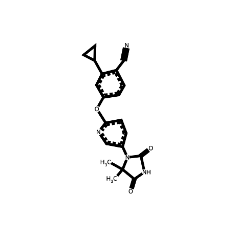 CC1(C)C(=O)NC(=O)N1c1ccc(Oc2ccc(C#N)c(C3CC3)c2)nc1